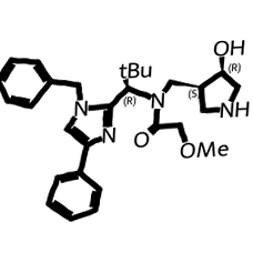 COCC(=O)N(C[C@@H]1CNC[C@@H]1O)[C@@H](c1nc(-c2ccccc2)cn1Cc1ccccc1)C(C)(C)C